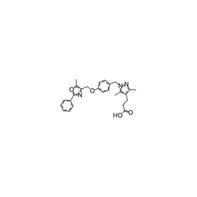 Cc1nn(Cc2ccc(OCc3nc(-c4ccccc4)oc3C)cc2)c(C)c1CCC(=O)O